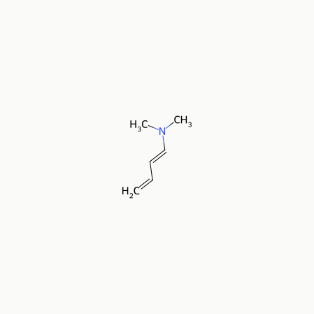 C=C/C=C/N(C)C